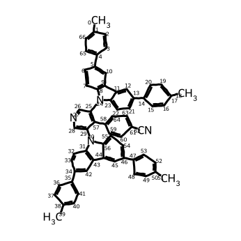 Cc1ccc(-c2ccc3c(c2)c2cc(-c4ccc(C)cc4)ccc2n3-c2cncc(-n3c4ccc(-c5ccc(C)cc5)cc4c4cc(-c5ccc(C)cc5)ccc43)c2-c2ccc(C#N)cc2)cc1